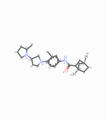 Cc1cc(NC(=O)C2C[C@@H]3CC[C@H]2C3)ccc1N1CCC(N2CCCC2C)C1